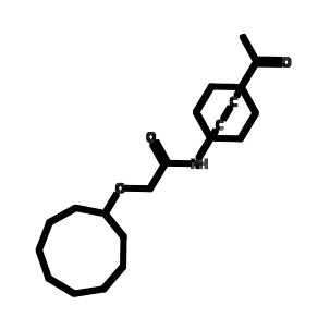 CC(=O)C12CCC(NC(=O)COC3CCCCCCCC3)(CC1)CC2